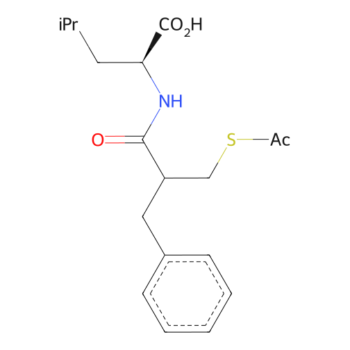 CC(=O)SCC(Cc1ccccc1)C(=O)N[C@@H](CC(C)C)C(=O)O